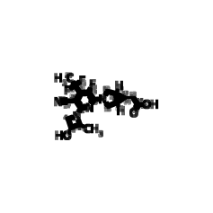 C[C@H]1[C@H](O)CN1c1nc(N2C[C@@H]3[C@H](CC(=O)O)[C@@H]3C2)c(F)c(C(C)(F)F)c1C#N